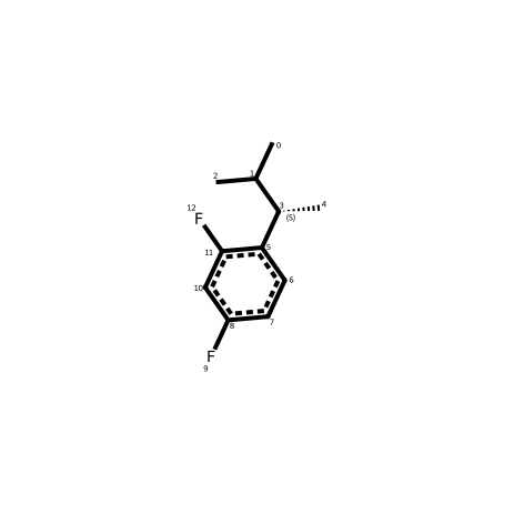 CC(C)[C@H](C)c1ccc(F)cc1F